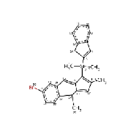 CC1=C([Si](C)(C)C2=Cc3ccccc3C2)C2=Cc3cc(Br)ccc3C(C)C2=C1